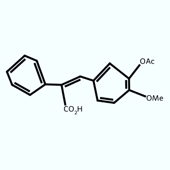 COc1ccc(/C=C(\C(=O)O)c2ccccc2)cc1OC(C)=O